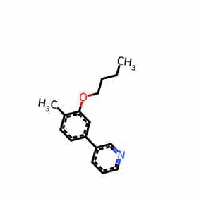 CCCCOc1cc(-c2cccnc2)ccc1C